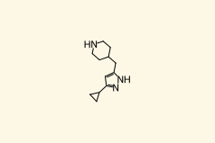 c1c(C2CC2)n[nH]c1CC1CCNCC1